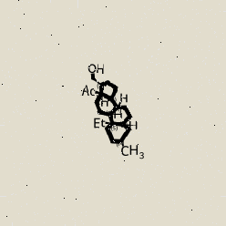 CC[C@]12CC[C@@H](C)C[C@@H]1CC[C@@H]1[C@@H]2CC[C@]2(C(C)=O)[C@@H](CO)CC[C@@H]12